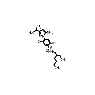 CCCCC(CC)CNS(=O)(=O)c1cc(Cl)c(-n2nc(C(C)C)cc2N)cc1Cl